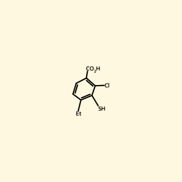 CCc1ccc(C(=O)O)c(Cl)c1S